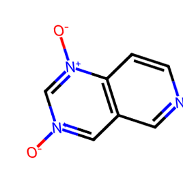 [O-][n+]1cc2cnccc2[n+]([O-])c1